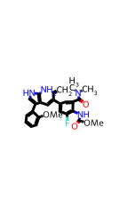 C=C/C(=C\c1c(-c2ccccc2OC)c[nH]c1N)c1cc(F)c(NC(=O)OC)c(C(=O)N(C)C)c1